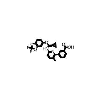 Cc1ccc(NC(Oc2ccc3c(c2)OC(F)(F)O3)=C2CC2)nc1-c1cccc(C(=O)O)c1